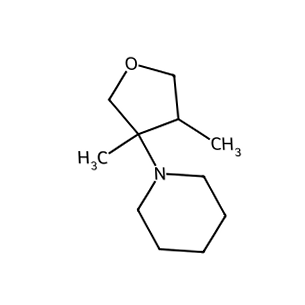 CC1COCC1(C)N1CCCCC1